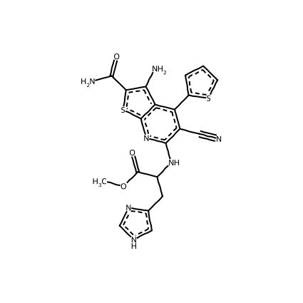 COC(=O)C(Cc1c[nH]cn1)Nc1nc2sc(C(N)=O)c(N)c2c(-c2cccs2)c1C#N